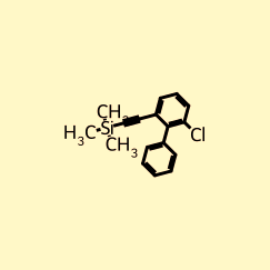 C[Si](C)(C)C#Cc1cccc(Cl)c1-c1ccccc1